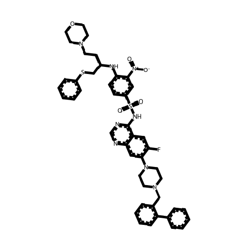 O=[N+]([O-])c1cc(S(=O)(=O)Nc2ncnc3cc(N4CCN(Cc5ccccc5-c5ccccc5)CC4)c(F)cc23)ccc1NC(CCN1CCOCC1)CSc1ccccc1